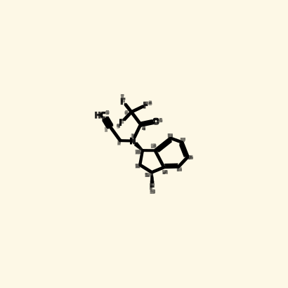 C#CCN(C(=O)C(F)(F)F)[C@@H]1C[C@H](F)c2ccccc21